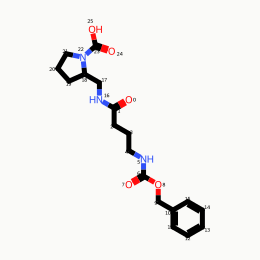 O=C(CCCNC(=O)OCc1ccccc1)NCC1CCCN1C(=O)O